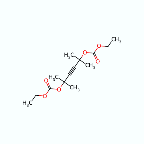 CCOC(=O)OC(C)(C)C#CC(C)(C)OC(=O)OCC